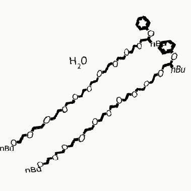 CCCCOCCOCCOCCOCCOCCOCCOCCOCCOCCOCC(CCCC)Oc1ccccc1.CCCCOCCOCCOCCOCCOCCOCCOCCOCCOCCOCC(CCCC)Oc1ccccc1.O